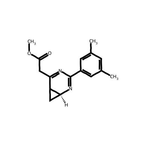 COC(=O)CC1=NC(c2cc(C)cc(C)c2)=N[C@H]2CC12